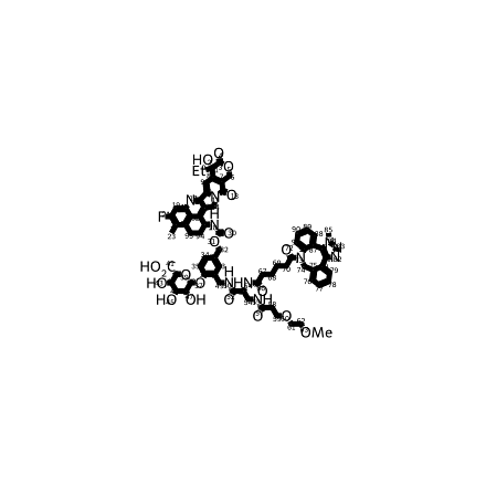 CCC1(O)C(=O)OCc2c1cc1n(c2=O)Cc2c-1nc1cc(F)c(C)c3c1c2C(NC(=O)OCc1ccc(OC2OC(C(=O)O)C(O)C(O)C2O)c(CNC(=O)C(CNC(=O)CCOCCOC)NC(=O)CCCCC(=O)N2Cc4ccccc4-c4nnn(C)c4-c4ccccc42)c1)CC3